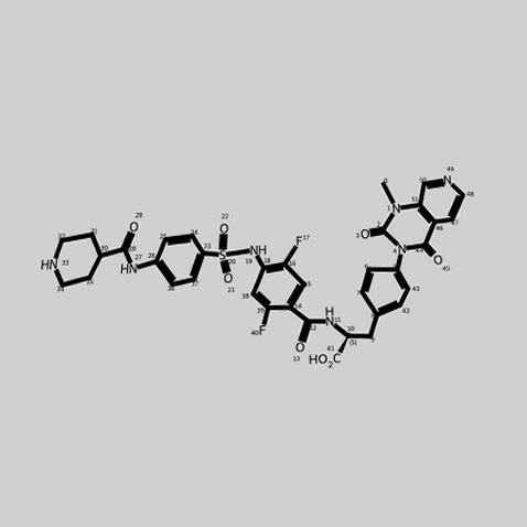 Cn1c(=O)n(-c2ccc(C[C@H](NC(=O)c3cc(F)c(NS(=O)(=O)c4ccc(NC(=O)C5CCNCC5)cc4)cc3F)C(=O)O)cc2)c(=O)c2ccncc21